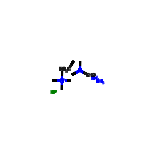 CC(=O)O.CN(C)C=O.C[N+](C)(C)C.F.N.N